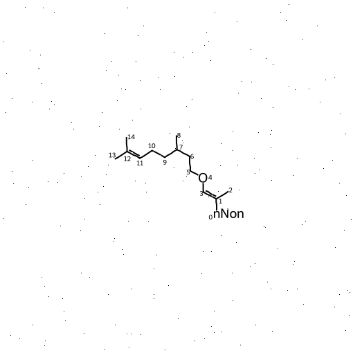 CCCCCCCCCC(C)=COCCC(C)CCC=C(C)C